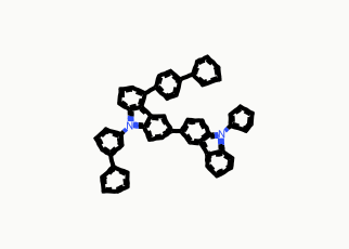 c1ccc(-c2ccc(-c3cccc4c3c3cc(-c5ccc6c(c5)c5ccccc5n6-c5ccccc5)ccc3n4-c3cccc(-c4ccccc4)c3)cc2)cc1